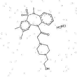 Cc1cc2c(cc1Cl)N(C(=O)CN1CCN(CCO)CC1)c1ccccc1N(C)S2(=O)=O.Cl.Cl